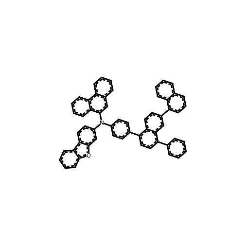 c1ccc(-c2ccc(-c3ccc(N(c4ccc5c(c4)oc4ccccc45)c4cc5ccccc5c5ccccc45)cc3)c3ccc(-c4cccc5ccccc45)cc23)cc1